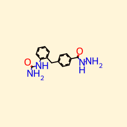 NNC(=O)c1ccc(Cc2ccccc2NC(N)=O)cc1